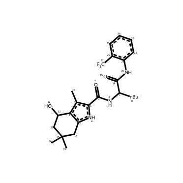 CCCCC(NC(=O)c1[nH]c2c(c1C)C(O)CC(C)(C)C2)C(=O)Nc1ccccc1C(F)(F)F